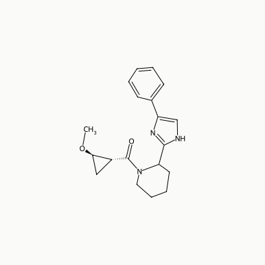 CO[C@@H]1C[C@H]1C(=O)N1CCCCC1c1nc(-c2ccccc2)c[nH]1